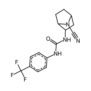 N#CN1C2CCC1C(NC(=O)Nc1ccc(C(F)(F)F)cc1)C2